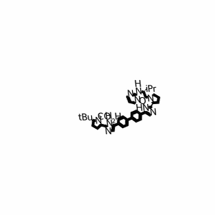 CC(C)[C@@H](Nc1ncccn1)C(=O)N1CCC[C@H]1c1ncc(-c2ccc(-c3ccc(-c4cnc(C5CCC(C(C)(C)C)N5C(=O)O)[nH]4)cc3)cc2)[nH]1